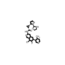 Cc1ccncc1-c1cc2cc(NC(=O)[C@@H]3C[C@H]3c3ccnn3C3NCCO3)ncc2c(Cl)c1F